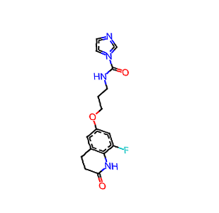 O=C1CCc2cc(OCCCNC(=O)n3ccnc3)cc(F)c2N1